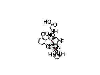 O=C(O)CNC(=O)c1cc(F)c2nc(N3[C@@H]4CC[C@H]3C[C@@H](OC(=O)c3c(-c5c(Cl)cccc5Cl)noc3C3CC3)C4)sc2c1